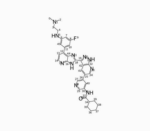 CN(C)CCNc1cc(F)cc(-c2ccnc3[nH]c(-c4n[nH]c5ncc(-c6cncc(NC(=O)C7CCCCC7)c6)cc45)nc23)c1